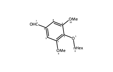 CCCCCCOc1c(OC)cc(C=O)cc1OC